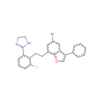 Fc1cccc(C2=NCCN2)c1CCc1cc(Br)cc2c(-c3ccccc3)coc12